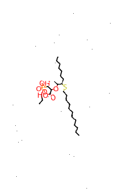 CCCCCCCCCCCCSC(CCCCCCC)C(C)OC(CP(=O)(O)OCCC)C(=O)O